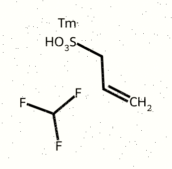 C=CCS(=O)(=O)O.FC(F)F.[Tm]